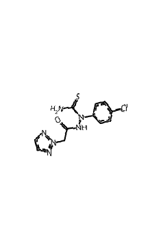 NC(=S)N(NC(=O)Cn1nccn1)c1ccc(Cl)cc1